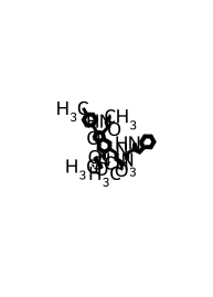 CNC(=O)c1c(-c2ccc(C)cc2)oc2cc(N(C)S(C)(=O)=O)c(-c3cc(OC)nc(-c4cc5ccccc5[nH]4)n3)cc12